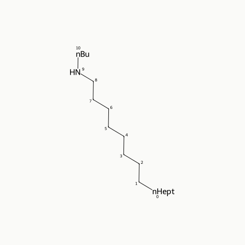 CCCCCCCCCCCCCCCNCCCC